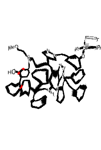 COCCN(CC=C(c1cnn(Cc2cccc(O[Si](C(C)C)(C(C)C)C(C)C)c2)c1)c1cc(NC(c2ccccc2)(c2ccccc2)c2ccccc2)nc2c1nnn2C(c1ccccc1)(c1ccccc1)c1ccccc1)C12CCC(c3ccccc3)(CC1)C(O)C2